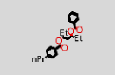 CCCc1ccc(C(=O)OC(CC)CC(CC)OC(=O)c2ccccc2)cc1